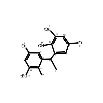 CCc1cc(C(C)c2cc(CC)cc(C(C)(C)C)c2N=O)c(C)c(C(C)(C)C)c1